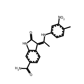 C/C(Nc1ccc(C)c([N+](=O)[O-])c1)=C1/C(=O)Nc2cc(C(N)=O)ccc21